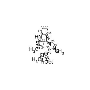 CCCCCCCCC(C)(C)C(=O)OCC1CN(C2=Nc3ccccc3Nc3sc(C)cc32)CCN1C